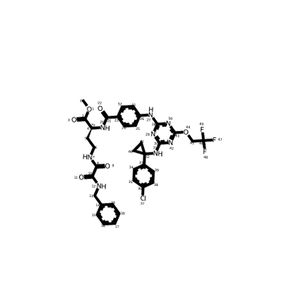 COC(=O)[C@H](CCNC(=O)C(=O)NCc1ccccc1)NC(=O)c1ccc(Nc2nc(NC3(c4ccc(Cl)cc4)CC3)nc(OCC(F)(F)F)n2)cc1